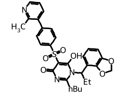 CCCCc1nc(=O)c(S(=O)(=O)c2ccc(-c3cccnc3C)cc2)c(O)n1C(CC)c1cccc2c1OCO2